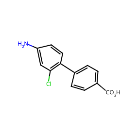 Nc1ccc(-c2ccc(C(=O)O)cc2)c(Cl)c1